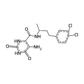 CC(CCc1ccc(Cl)c(Cl)c1)NC(=O)c1[nH]c(=O)[nH]c(=O)c1N